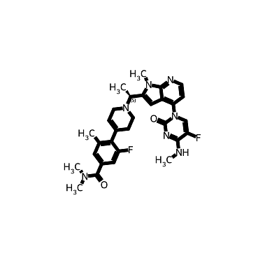 CNc1nc(=O)n(-c2ccnc3c2cc([C@H](C)N2CC=C(c4c(C)cc(C(=O)N(C)C)cc4F)CC2)n3C)cc1F